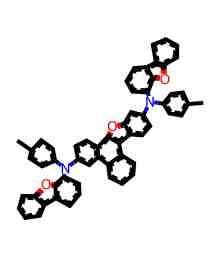 Cc1ccc(N(c2ccc3c(c2)oc2c4ccc(N(c5ccc(C)cc5)c5cccc6c5oc5ccccc56)cc4c4ccccc4c32)c2cccc3c2oc2ccccc23)cc1